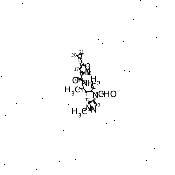 CC(CC(C)N(C=O)c1cnn(C)c1)NC(=O)c1cc(C2CC2)on1